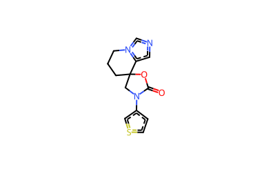 O=C1OC2(CCCn3cncc32)CN1c1ccsc1